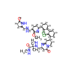 CNC(=O)C(C)(C)NCc1cc(=O)n2ccc(-c3cccc(-c4cccc(-c5ccc(CNC[C@H]6CCC(=O)N6)c(OC)n5)c4Cl)c3Cl)cc2n1